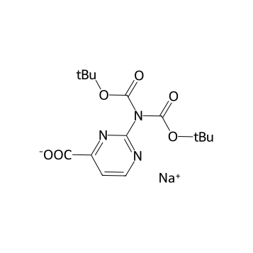 CC(C)(C)OC(=O)N(C(=O)OC(C)(C)C)c1nccc(C(=O)[O-])n1.[Na+]